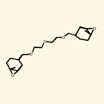 CC12CCC(COCCOCCOCC3CCC4(C)OC4C3)CC1O2